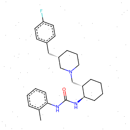 Cc1ccccc1NC(=O)N[C@@H]1CCCC[C@H]1CN1CCC[C@@H](Cc2ccc(F)cc2)C1